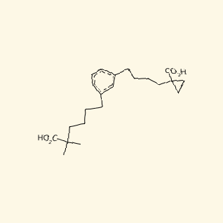 CC(C)(CCCCc1cccc(CCCCC2(C(=O)O)CC2)c1)C(=O)O